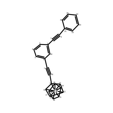 C(#Cc1cccc(C#C[C]23[CH]4[CH]5[CH]6[CH]2[Fe]56432789[CH]3[CH]2[CH]7[CH]8[CH]39)c1)c1ccccc1